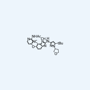 CC(=O)Nc1cc(Oc2ccc3nc(Nc4cc(C(C)(C)C)n(C5CCOC5)n4)n(C)c3c2C#N)ccn1